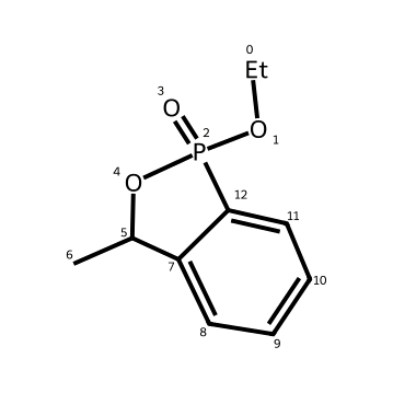 CCOP1(=O)OC(C)c2ccccc21